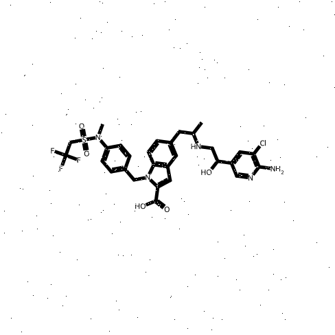 CC(Cc1ccc2c(c1)cc(C(=O)O)n2Cc1ccc(N(C)S(=O)(=O)CC(F)(F)F)cc1)NCC(O)c1cnc(N)c(Cl)c1